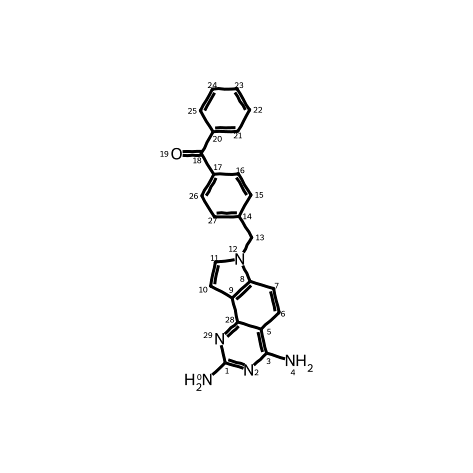 Nc1nc(N)c2ccc3c(ccn3Cc3ccc(C(=O)c4ccccc4)cc3)c2n1